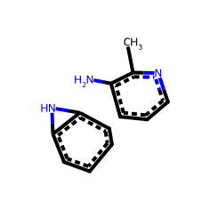 Cc1ncccc1N.c1ccc2c(c1)N2